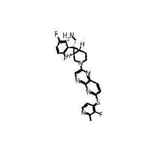 Cc1nccc(Sc2ccc3nc(N4CC[C@@H]5[C@H](C4)[C@@]5(CN)c4cc(F)ccc4F)cnc3n2)c1F